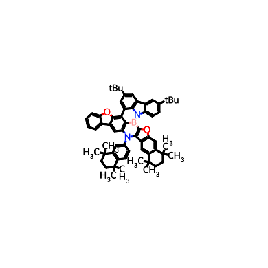 CC(C)(C)c1ccc2c(c1)c1cc(C(C)(C)C)cc3c1n2B1c2oc4cc5c(cc4c2N(c2ccc4c(c2)C(C)(C)CCC4(C)C)c2cc4c(oc6ccccc64)c-3c21)C(C)(C)CCC5(C)C